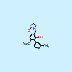 COc1ccc(CN2CCCC2=O)c(O)c1-c1cccc(C)c1